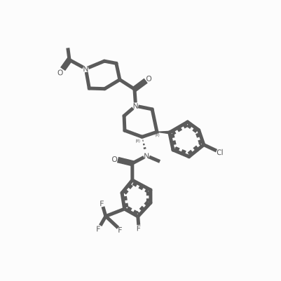 CC(=O)N1CCC(C(=O)N2CC[C@@H](N(C)C(=O)c3ccc(F)c(C(F)(F)F)c3)[C@H](c3ccc(Cl)cc3)C2)CC1